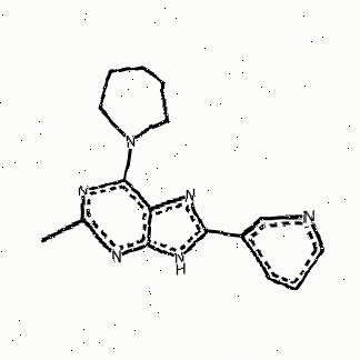 Cc1nc(N2CCCCC2)c2nc(-c3cccnc3)[nH]c2n1